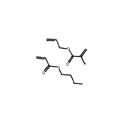 C=CC(=O)OCCCC.C=CCOC(=O)C(=C)C